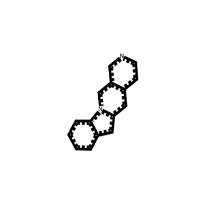 c1ccc2c(c1)cc1cc3ccncc3cn12